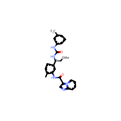 COC[C@H](NC(=O)Nc1cccc(C(F)(F)F)c1)c1ccc(C)c(NC(=O)c2cnc3ccccn23)c1